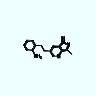 Cc1n[nH]c2cc(CCc3ccccc3N)cnc12